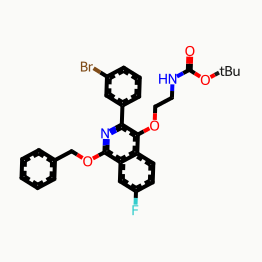 CC(C)(C)OC(=O)NCCOc1c(-c2cccc(Br)c2)nc(OCc2ccccc2)c2cc(F)ccc12